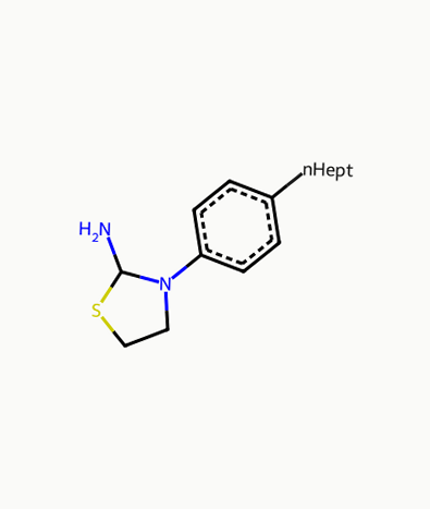 CCCCCCCc1ccc(N2CCSC2N)cc1